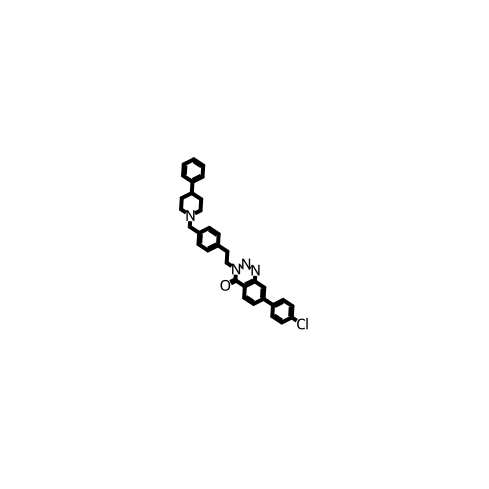 O=c1c2ccc(-c3ccc(Cl)cc3)cc2nnn1CCc1ccc(CN2CCC(c3ccccc3)CC2)cc1